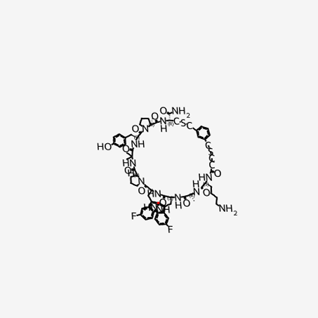 C[C@H]1NC(=O)[C@H](CCCCN)NC(=O)CCSCc2cccc(c2)CSC[C@@H](C(N)=O)NC(=O)[C@]2(C)CCCN2C(=O)[C@H](Cc2ccc(O)cc2)NC(=O)C(C)(C)NC(=O)[C@@H]2CCCN2C(=O)[C@H](Cc2c[nH]c3ccc(F)cc23)NC(=O)[C@H](Cc2c[nH]c3ccc(F)cc23)NC1=O